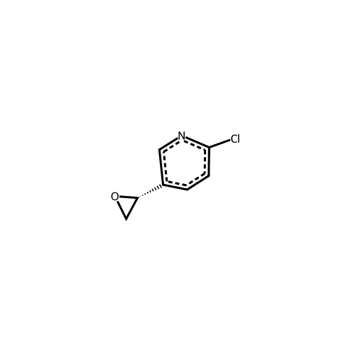 Clc1ccc([C@@H]2CO2)cn1